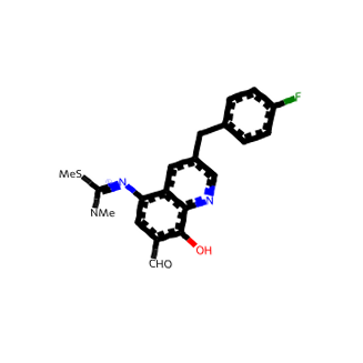 CN/C(=N\c1cc(C=O)c(O)c2ncc(Cc3ccc(F)cc3)cc12)SC